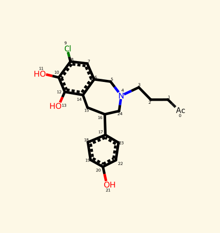 CC(=O)CCCN1Cc2cc(Cl)c(O)c(O)c2CC(c2ccc(O)cc2)C1